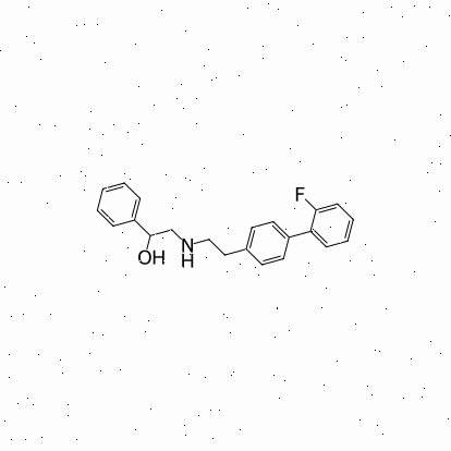 OC(CNCCc1ccc(-c2ccccc2F)cc1)c1ccccc1